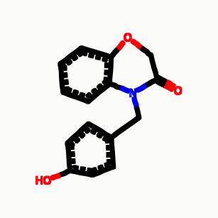 O=C1COc2ccccc2N1Cc1ccc(O)cc1